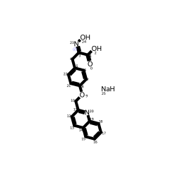 O=C(O)/C(Cc1ccc(OCc2ccc3ccccc3n2)cc1)=N\O.[NaH]